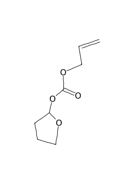 C=CCOC(=O)OC1CCCO1